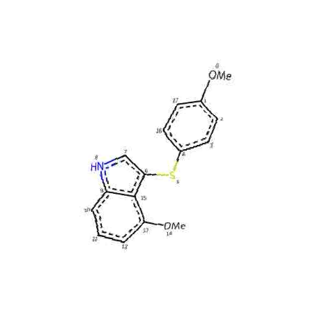 COc1ccc(Sc2c[nH]c3cccc(OC)c23)cc1